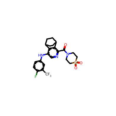 O=C(c1ncc(Nc2ccc(F)c(C(F)(F)F)c2)c2c1C1CCC2CC1)N1CCS(=O)(=O)CC1